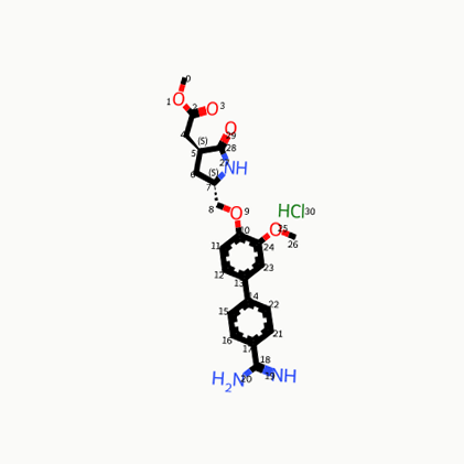 COC(=O)C[C@@H]1C[C@@H](COc2ccc(-c3ccc(C(=N)N)cc3)cc2OC)NC1=O.Cl